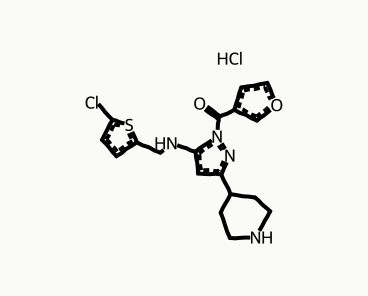 Cl.O=C(c1ccoc1)n1nc(C2CCNCC2)cc1NCc1ccc(Cl)s1